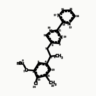 CCCCOc1cc(C(C)Cc2cnc(-c3ncccn3)nc2)cc(C)c1Cl